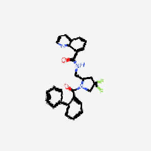 O=C(NCC1CC(F)(F)CN1C(=O)c1ccccc1-c1ccccc1)c1cccc2cccnc12